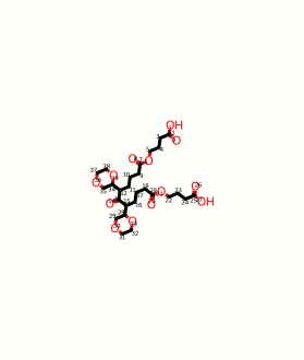 O=C(O)CCCOC(=O)CCCC(C(=O)C(CCCC(=O)OCCCC(=O)O)C1COCCO1)C1COCCO1